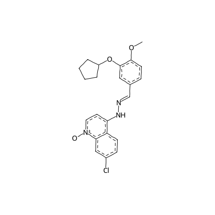 COc1ccc(C=NNc2cc[n+]([O-])c3cc(Cl)ccc23)cc1OC1CCCC1